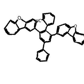 N#Cc1ccccc1-c1c(-c2ccc3oc4ccccc4c3c2)cc(-c2ccccc2)cc1-c1ccc2oc3ccccc3c2c1